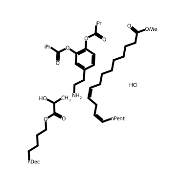 CC(C)C(=O)Oc1ccc(CCN)cc1OC(=O)C(C)C.CCCCC/C=C\C/C=C\CCCCCCCC(=O)OC.CCCCCCCCCCCCCCOC(=O)C(C)O.Cl